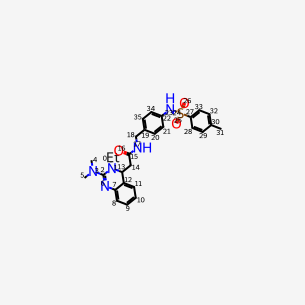 CCN1C(N(C)C)=Nc2ccccc2C1CC(=O)NCc1ccc(NS(=O)(=O)c2ccc(C)cc2)cc1